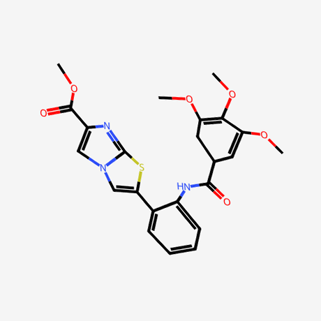 COC(=O)c1cn2cc(-c3ccccc3NC(=O)C3C=C(OC)C(OC)=C(OC)C3)sc2n1